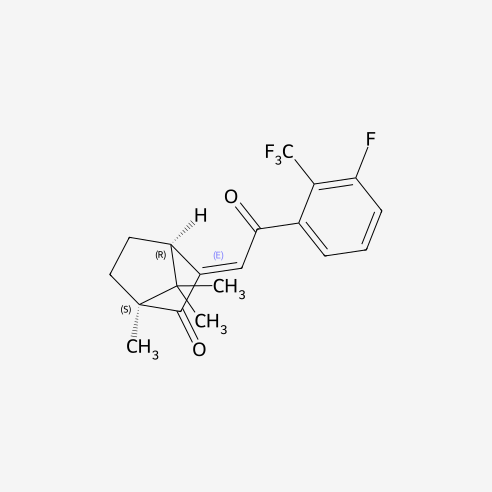 CC1(C)[C@H]2CC[C@]1(C)C(=O)/C2=C/C(=O)c1cccc(F)c1C(F)(F)F